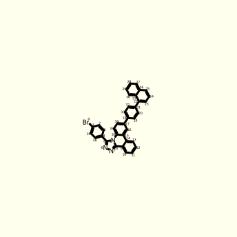 Brc1ccc(-c2nnc3c4ccccc4c4cc(-c5ccc(-c6cccc7ccccc67)cc5)ccc4n23)cc1